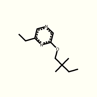 CCc1cncc(OCC(C)(C)CC)n1